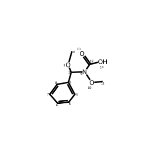 COC(c1ccccc1)N(OC)C(=O)O